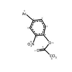 CC(=O)c1ccc(OC(=O)C(Cl)(Cl)Cl)c([N+](=O)[O-])c1